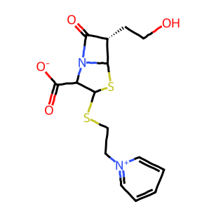 O=C([O-])C1C(SCC[n+]2ccccc2)SC2[C@@H](CCO)C(=O)N12